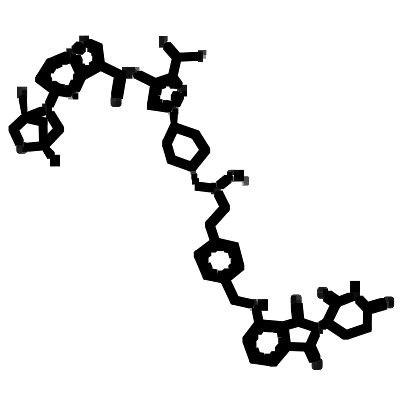 CN(CCc1ccc(CNc2cccc3c2C(=O)N(C2CCC(=O)NC2=O)C3=O)cc1)C[C@H]1CC[C@H](n2cc(NC(=O)c3cnn4ccc(N5C[C@H]6C[C@@H]5CO6)nc34)c(C(F)F)n2)CC1